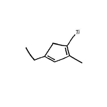 CCC1=CC(C)=[C]([Ti])C1